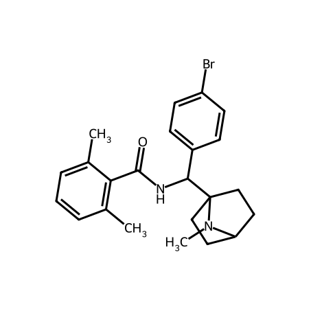 Cc1cccc(C)c1C(=O)NC(c1ccc(Br)cc1)C12CCC(CC1)N2C